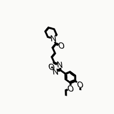 CCOc1cc(-c2noc(CCCC(=O)N3CCCCC3)n2)ccc1OC